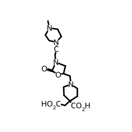 CN1CCN(CCN2CC(CN3CCC(CC(=O)O)(C(=O)O)CC3)OC2=O)CC1